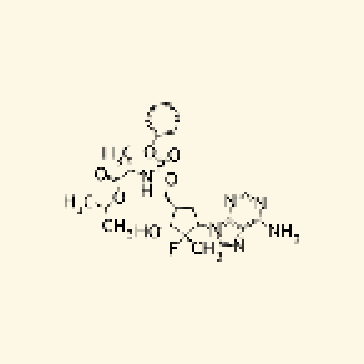 CC(C)OC(=O)[C@H](C)N[P@](=O)(OC[C@H]1C[C@@H](n2cnc3c(N)ncnc32)[C@](C)(F)[C@@H]1O)Oc1ccccc1